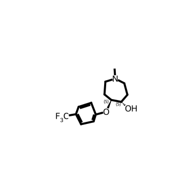 CN1CC[C@H](Oc2ccc(C(F)(F)F)cc2)[C@@H](O)CC1